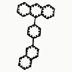 c1ccc2cc(-c3ccc(-c4c5ccccc5cc5ccccc45)cc3)ccc2c1